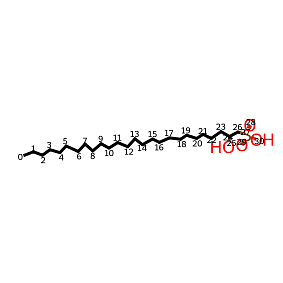 CCCCCCCCCCCCCCCCCCCCCCCCC(O)CS(=O)(=O)O